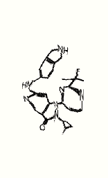 CC(C)(F)c1nccc(-n2c3cc(Nc4ccc5c(c4)CNC5)ncc3c(=O)n2C2CC2)n1